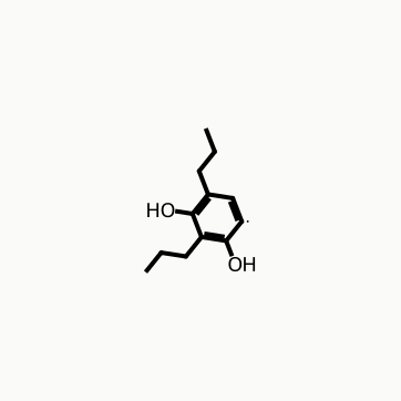 CCCc1c[c]c(O)c(CCC)c1O